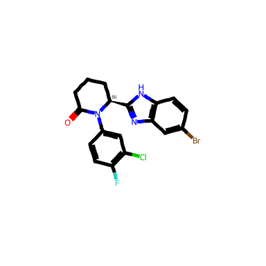 O=C1CCC[C@@H](c2nc3cc(Br)ccc3[nH]2)N1c1ccc(F)c(Cl)c1